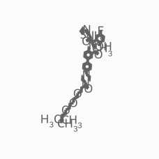 CN(Cc1ccc(-c2ccc(N3CCN(C(=O)CCOCCOCCOCCC(C)(C)C)CC3)cc2)cc1C=O)C(C(=O)Nc1nccs1)C1C=C(F)C=CC1O